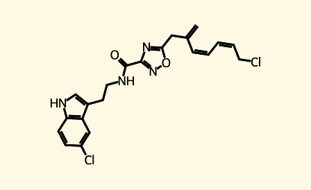 C=C(/C=C\C=C/CCl)Cc1nc(C(=O)NCCc2c[nH]c3ccc(Cl)cc23)no1